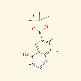 Cc1c(B2OC(C)(C)C(C)(C)O2)cc2c(=O)[nH]cnc2c1C